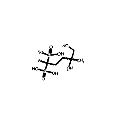 CC(O)(CO)CCC(F)(P(=O)(O)O)P(=O)(O)O